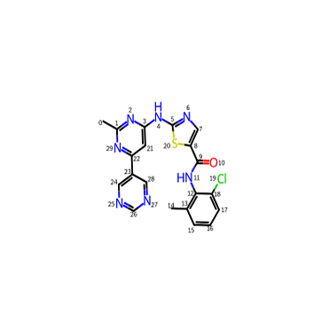 Cc1nc(Nc2ncc(C(=O)Nc3c(C)cccc3Cl)s2)cc(-c2cncnc2)n1